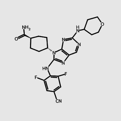 N#Cc1cc(F)c(Nc2nc3cnc(NC4CCOCC4)nc3n2[C@H]2CC[C@H](C(N)=O)CC2)c(F)c1